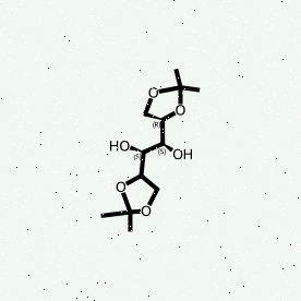 CC1(C)OCC([C@@H](O)[C@H](O)[C@H]2COC(C)(C)O2)O1